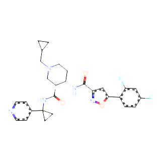 O=C(N[C@H]1CCN(CC2CC2)C[C@@H]1C(=O)NC1(c2ccncc2)CC1)c1cc(-c2ccc(F)cc2F)on1